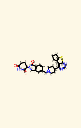 O=C1CCC(N2Cc3cc(CN4CCC(c5ncnc6sc7c(c56)CCC7)CC4)ccc3C2=O)C(=O)N1